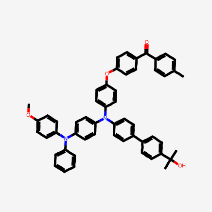 COc1ccc(N(c2ccccc2)c2ccc(N(c3ccc(Oc4ccc(C(=O)c5ccc(C)cc5)cc4)cc3)c3ccc(-c4ccc(C(C)(C)O)cc4)cc3)cc2)cc1